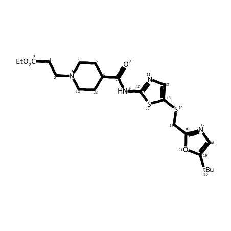 CCOC(=O)CCN1CCC(C(=O)Nc2ncc(SCc3ncc(C(C)(C)C)o3)s2)CC1